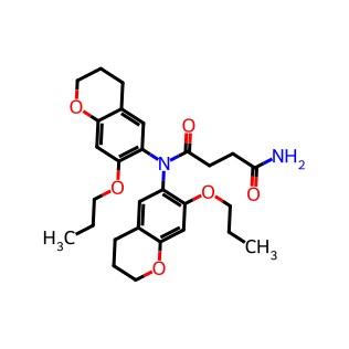 CCCOc1cc2c(cc1N(C(=O)CCC(N)=O)c1cc3c(cc1OCCC)OCCC3)CCCO2